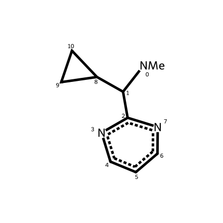 CNC(c1ncccn1)C1CC1